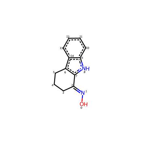 O/N=C1\CCCc2c1[nH]c1ccccc21